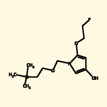 C[Si](C)(C)CCOCn1cc(O)cc1OCCF